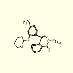 CC(C)(C)OC(=O)c1ccccc1C(=O)c1ccc(C(F)(F)F)cc1OC1CCCCO1